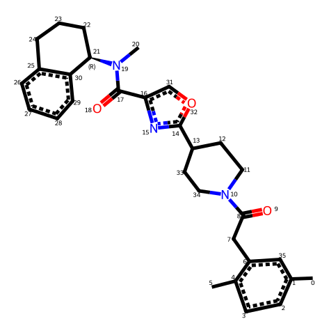 Cc1ccc(C)c(CC(=O)N2CCC(c3nc(C(=O)N(C)[C@@H]4CCCc5ccccc54)co3)CC2)c1